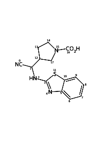 N#CC(Nc1nc2ccccc2s1)C1CCN(C(=O)O)C1